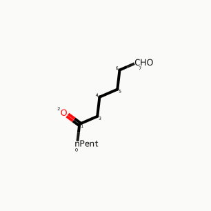 CCCCCC(=O)CCCCC=O